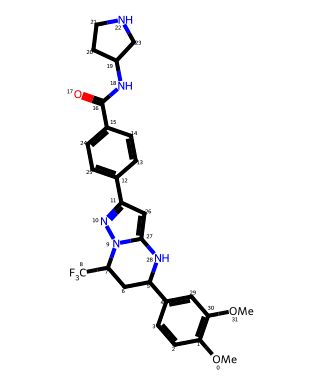 COc1ccc(C2CC(C(F)(F)F)n3nc(-c4ccc(C(=O)NC5CCNC5)cc4)cc3N2)cc1OC